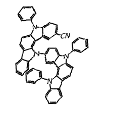 N#Cc1ccc2c(c1)c1c(ccc3c4ccccc4n(-c4ccc5c(c4)c4c(ccc6c7ccccc7n(-c7ccccc7)c64)n5-c4ccccc4)c31)n2-c1ccccc1